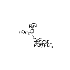 CCCCCCCCc1cc(-c2ncccn2)ccc1CCCOCC(F)(F)OC(F)(F)C(F)(F)OC(F)(F)C(F)(F)F